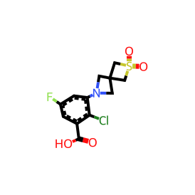 O=C(O)c1cc(F)cc(N2CC3(C2)CS(=O)(=O)C3)c1Cl